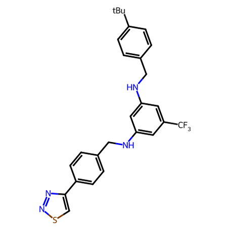 CC(C)(C)c1ccc(CNc2cc(NCc3ccc(-c4csnn4)cc3)cc(C(F)(F)F)c2)cc1